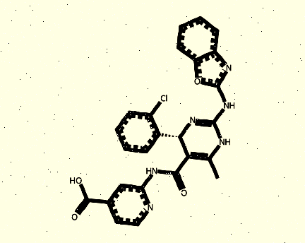 CC1=C(C(=O)Nc2cc(C(=O)O)ccn2)[C@H](c2ccccc2Cl)N=C(Nc2nc3ccccc3o2)N1